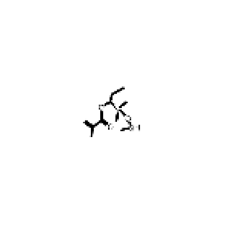 C=C(C)C(=O)OC(CC)[Si](C)(C)O[SiH](C)C